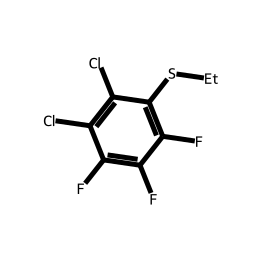 CCSc1c(F)c(F)c(F)c(Cl)c1Cl